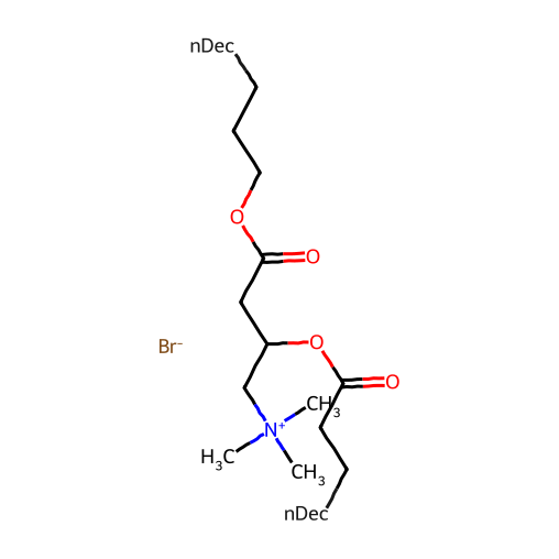 CCCCCCCCCCCCCOC(=O)CC(C[N+](C)(C)C)OC(=O)CCCCCCCCCCCC.[Br-]